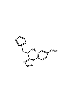 COc1ccc(-n2ccnc2C(N)Cc2ccccc2)cc1